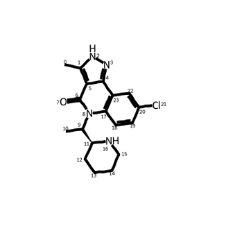 Cc1[nH]nc2c1c(=O)n(C(C)[C@@H]1CCCCN1)c1ccc(Cl)cc21